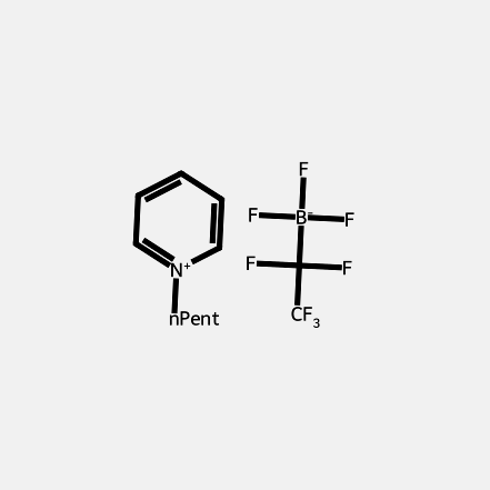 CCCCC[n+]1ccccc1.F[B-](F)(F)C(F)(F)C(F)(F)F